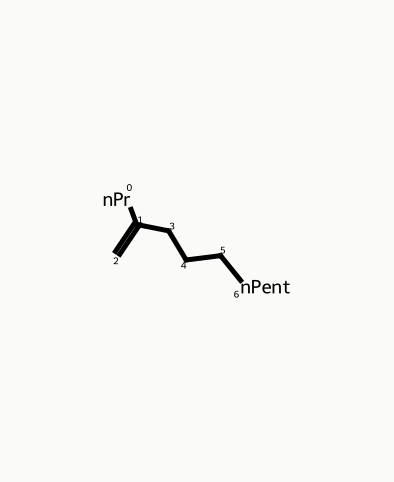 [CH2]CCC(=C)CCCCCCCC